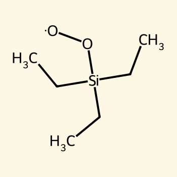 CC[Si](CC)(CC)O[O]